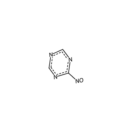 O=Nc1ncncn1